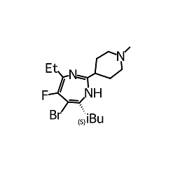 CCC1=C(F)C(Br)=C([C@@H](C)CC)NC(C2CCN(C)CC2)=N1